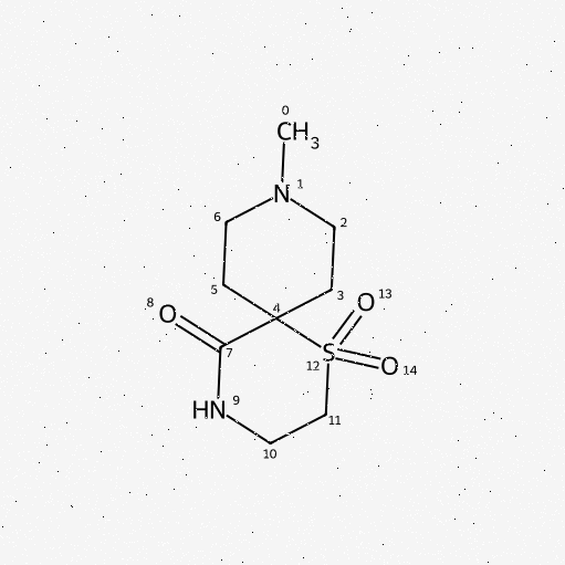 CN1CCC2(CC1)C(=O)NCCS2(=O)=O